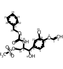 C=COc1ccc([C@@H](O)[C@@H](COS(C)(=O)=O)NC(=O)OCc2ccccc2)cc1Cl